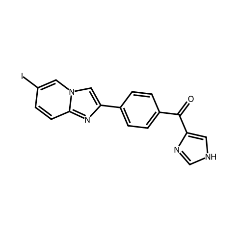 O=C(c1ccc(-c2cn3cc(I)ccc3n2)cc1)c1c[nH]cn1